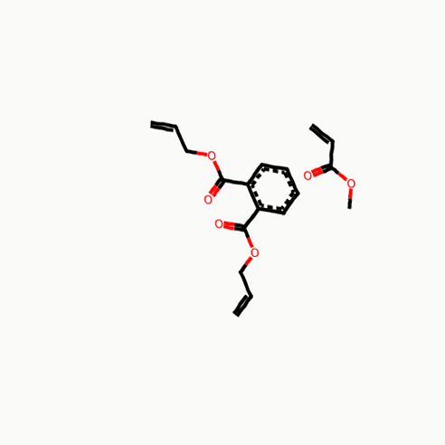 C=CC(=O)OC.C=CCOC(=O)c1ccccc1C(=O)OCC=C